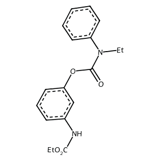 CCOC(=O)Nc1cccc(OC(=O)N(CC)c2ccccc2)c1